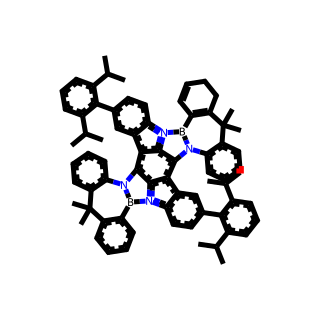 CC(C)c1cccc(C(C)C)c1-c1ccc2c(c1)c1c3c4c(c5c1n2B1C2=C(CCC=C2)C(C)(C)c2ccccc2N15)c1cc(-c2c(C(C)C)cccc2C(C)C)ccc1n4B1c2ccccc2C(C)(C)c2ccccc2N13